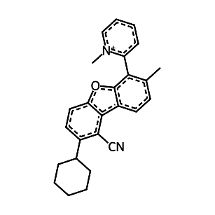 Cc1ccc2c(oc3ccc(C4CCCCC4)c(C#N)c32)c1-c1cccc[n+]1C